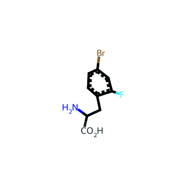 NC(Cc1ccc(Br)cc1F)C(=O)O